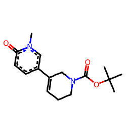 Cn1cc(C2=CCCN(C(=O)OC(C)(C)C)C2)ccc1=O